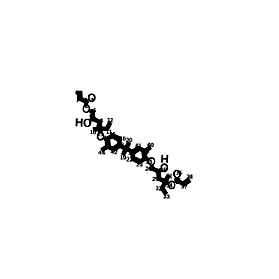 C=CC(=O)OCC(O)CC(C)(CC)Oc1ccc(C(C)(C)c2ccc(OCC(O)CC(C)(CC)OC(=O)C=C)c(C)c2)cc1C